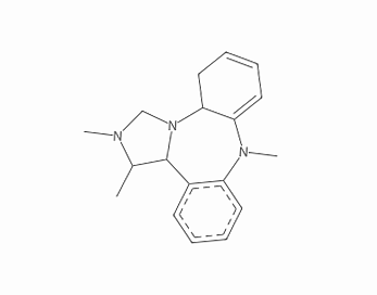 CC1C2c3ccccc3N(C)C3=CC=CCC3N2CN1C